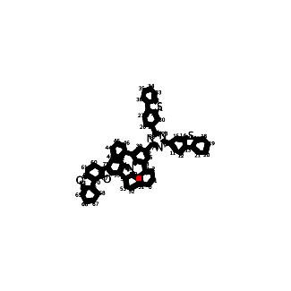 c1ccc(-c2cc(-c3nc(-c4ccc5c(c4)sc4ccccc45)nc(-c4ccc5c(c4)sc4ccccc45)n3)cc(-c3ccccc3)c2-n2c3ccccc3c3c4oc5c(ccc6oc7ccccc7c65)c4ccc32)cc1